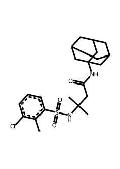 Cc1c(Cl)cccc1S(=O)(=O)NC(C)(C)CC(=O)NC12CC3CC(CC(C3)C1)C2